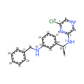 C[C@H](Nc1cncc(Cl)n1)c1cccc(NCc2ccccc2)c1